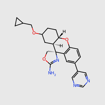 NC1=N[C@]2(CO1)c1cc(-c3cncnc3)ccc1O[C@H]1CCC(OCC3CC3)C[C@@H]12